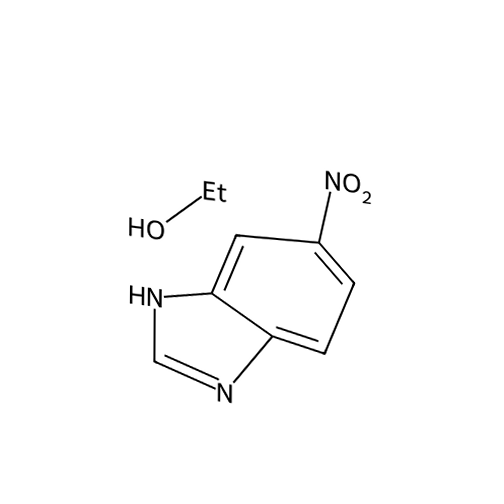 CCO.O=[N+]([O-])c1ccc2nc[nH]c2c1